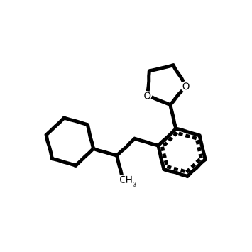 CC(Cc1ccccc1C1OCCO1)C1CCCCC1